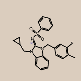 Cc1ccc(Cn2/c(=N\S(=O)(=O)c3ccccc3)n(CC3CC3)c3ccccc32)cc1F